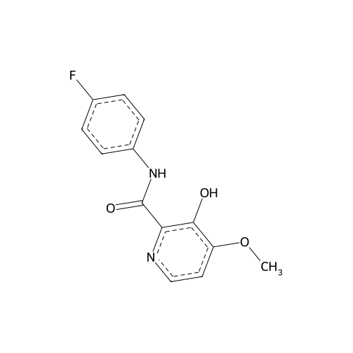 COc1ccnc(C(=O)Nc2ccc(F)cc2)c1O